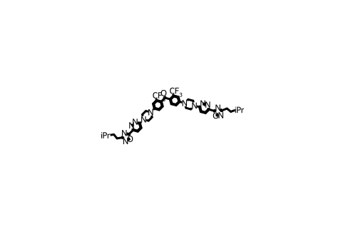 CC(C)CCc1noc(-c2ccc(N3CCN(c4ccc(C(=O)c5ccc(N6CCN(c7ccc(-c8nc(CCC(C)C)no8)nn7)CC6)cc5C(F)(F)F)c(C(F)(F)F)c4)CC3)nn2)n1